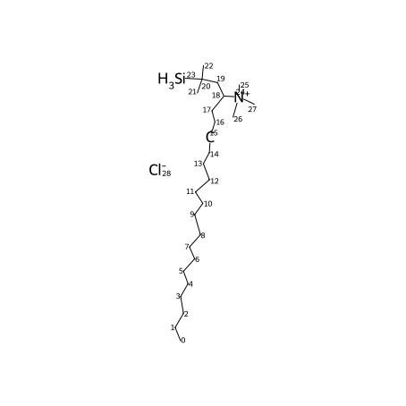 CCCCCCCCCCCCCCCCCCC(CC(C)(C)[SiH3])[N+](C)(C)C.[Cl-]